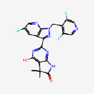 CC1(C)C(=O)Nc2nc(-c3nn(Cc4c(F)cncc4F)c4ncc(F)cc34)nc(O)c21